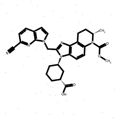 COC(=O)N1c2ccc3c(nc(Cn4ccc5ccc(C#N)nc54)n3[C@@H]3CCC[C@@H](C(=O)O)C3)c2CC[C@@H]1C